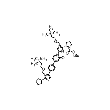 CC(C)(C)OC(=O)N1CCC[C@H]1c1nc(-n2ccc(-c3ccc(-c4cnc(C5CCCC5)n4COCC[Si](C)(C)C)cc3)cc2=O)cn1COCC[Si](C)(C)C